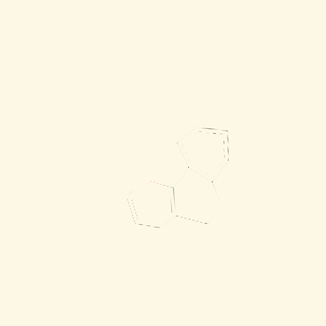 C1=COC2=C(C1)CSc1ccccc12